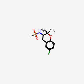 CCS(=O)(=O)NC1Cc2cc(F)ccc2OC1(C)C